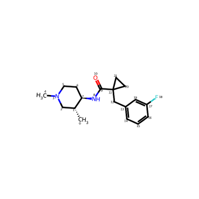 C[C@@H]1CN(C)CC[C@H]1NC(=O)C1(Cc2cccc(F)c2)CC1